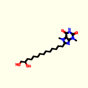 Cn1c(CCCCCCCCCCCCC(O)CO)nc2c1c(=O)[nH]c(=O)n2C